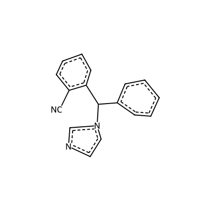 N#Cc1ccccc1C(c1ccccc1)n1ccnc1